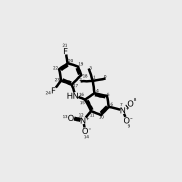 CC(C)(C)c1cc([N+](=O)[O-])cc([N+](=O)[O-])c1Nc1ccc(F)cc1F